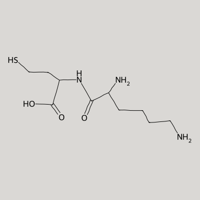 NCCCCC(N)C(=O)NC(CCS)C(=O)O